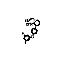 Cc1cc(F)cc(Oc2ccc([C@@H]3CCCN4CCS(=O)(=O)N=C34)cc2)c1